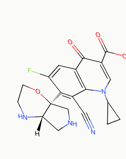 N#Cc1c([C@]23CNC[C@@H]2NCCO3)c(F)cc2c(=O)c(C(=O)O)cn(C3CC3)c12